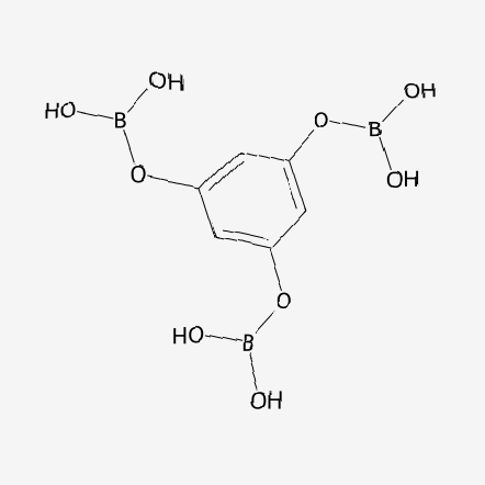 OB(O)Oc1cc(OB(O)O)cc(OB(O)O)c1